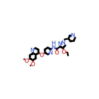 CCOc1cn(Cc2cccnc2)nc1C(=O)Nc1ccc(Oc2ccnc3cc(OC)c(OC)cc23)cn1